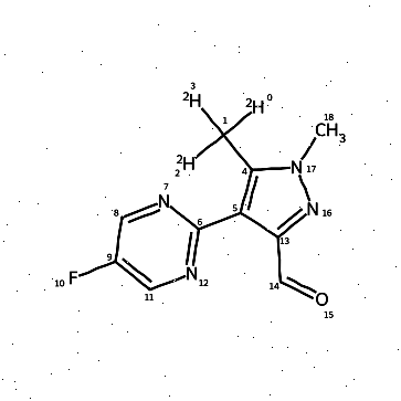 [2H]C([2H])([2H])c1c(-c2ncc(F)cn2)c(C=O)nn1C